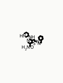 NC(=O)c1cnc(N[C@H]2CCCNC2)c2cc(-n3ncc4ccccc43)sc12